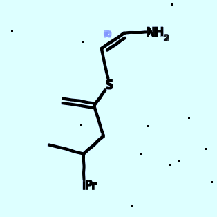 C=C(CC(C)C(C)C)S/C=C\N